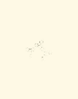 c1ccc(-c2nc(-c3ccccc3)nc(-c3ccc(-n4c5ccccc5c5ccc(-c6ccc7c(c6)c6cccnc6n7-c6ccccc6)cc54)cc3)n2)cc1